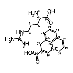 N=C(N)NCCC[C@H](N)C(=O)O.O=C(O)C1=CN2CC=Cc3cccc(c32)C1